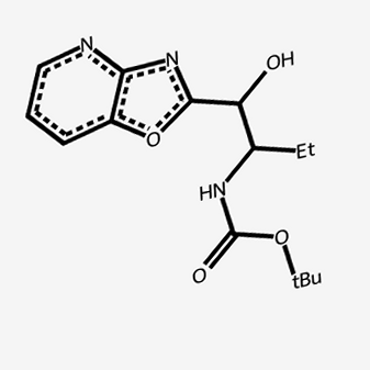 CCC(NC(=O)OC(C)(C)C)C(O)c1nc2ncccc2o1